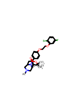 CCOC(=O)C1=C(c2ccc(OCCOc3cc(F)ccc3Br)cc2)CC2CN(C(C)=O)CC1N2C(=O)OC(C)(C)C(Cl)(Cl)Cl